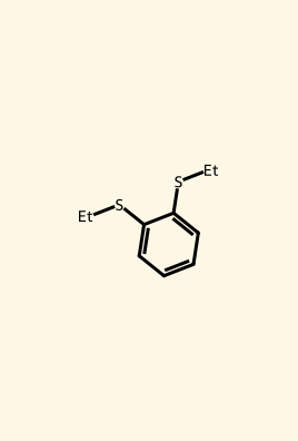 CCSc1ccccc1SCC